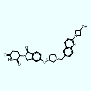 O=C1CCC(N2Cc3cc(O[C@H]4CCN(Cc5ccc6nc(N7CC(O)C7)ccc6c5)C4)ccc3C2=O)C(=O)N1